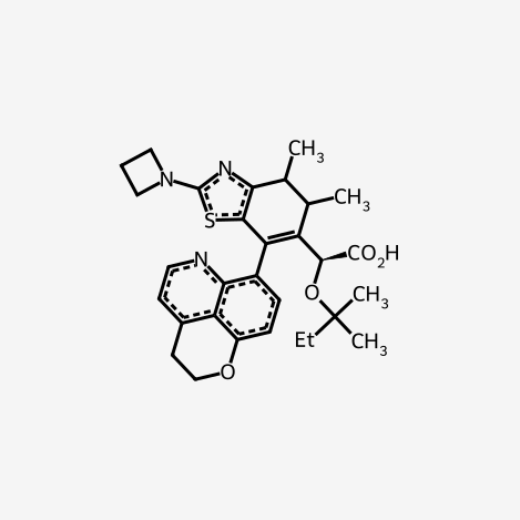 CCC(C)(C)O[C@H](C(=O)O)C1=C(c2ccc3c4c(ccnc24)CCO3)c2sc(N3CCC3)nc2C(C)C1C